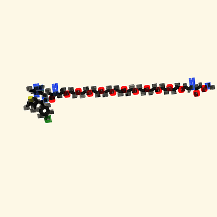 C=NOCC(=O)NCCOCCOCCOCCOCCOCCOCCOCCOCCOCCOCCOCCNC(=O)C[C@@H]1N=C(c2ccc(Cl)cc2)c2c(sc(C)c2C)-n2c(C)nnc21